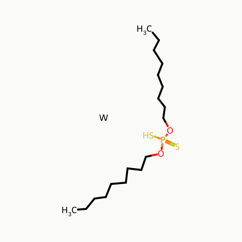 CCCCCCCCCOP(=S)(S)OCCCCCCCCC.[W]